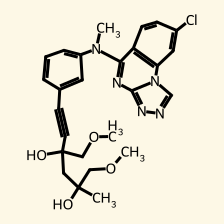 COCC(C)(O)CC(O)(C#Cc1cccc(N(C)c2nc3nncn3c3cc(Cl)ccc23)c1)COC